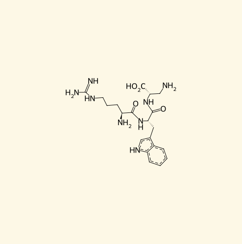 N=C(N)NCCC[C@H](N)C(=O)N[C@@H](Cc1c[nH]c2ccccc12)C(=O)N[C@@H](CN)C(=O)O